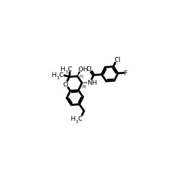 CCc1ccc2c(c1)[C@@H](NC(=O)c1ccc(F)c(Cl)c1)[C@H](O)C(C)(C)O2